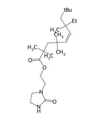 CCC(C)(/C=C\C(C)(C)CC(C)(C)C(=O)OCCN1CCNC1=O)CC(C)(C)C